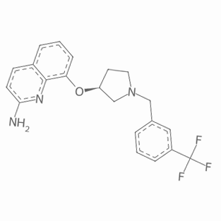 Nc1ccc2cccc(O[C@H]3CCN(Cc4cccc(C(F)(F)F)c4)C3)c2n1